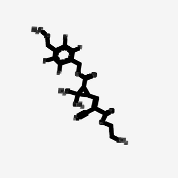 CCCOC(=O)/C(C#N)=C/C1C(C(=O)OCc2c(F)c(F)c(COC)c(F)c2F)C1(C)C